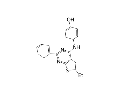 CCC1Cc2c(NC3C=CC(O)=CC3)nc(C3=CC=CCC3)nc2S1